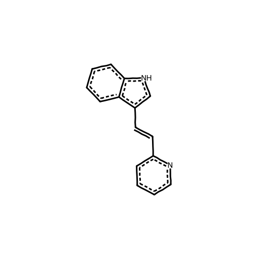 C(=Cc1c[nH]c2ccccc12)c1ccccn1